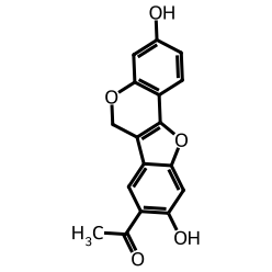 CC(=O)c1cc2c3c(oc2cc1O)-c1ccc(O)cc1OC3